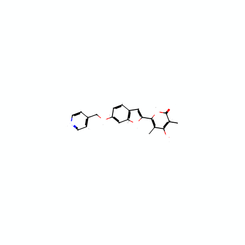 Cc1c(-c2cc3ccc(OCc4ccncc4)cc3o2)oc(=O)c(C)c1O